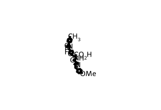 COc1ccc(Cn2cc(C(=O)NC(Cc3ccc(-c4noc(-c5ccc(C)cc5)n4)c(F)c3)C(=O)O)cn2)cc1